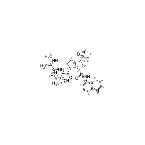 CNC(C)C(=O)NC(C(=O)N1CCC2C1C(C(=O)Nc1cccc3ncccc13)CN2S(C)(=O)=O)C(C)(C)C